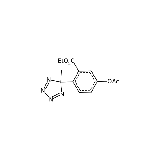 CCOC(=O)c1cc(OC(C)=O)ccc1C1(C)N=NN=N1